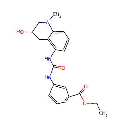 CCOC(=O)c1cccc(NC(=O)Nc2cccc3c2CC(O)CN3C)c1